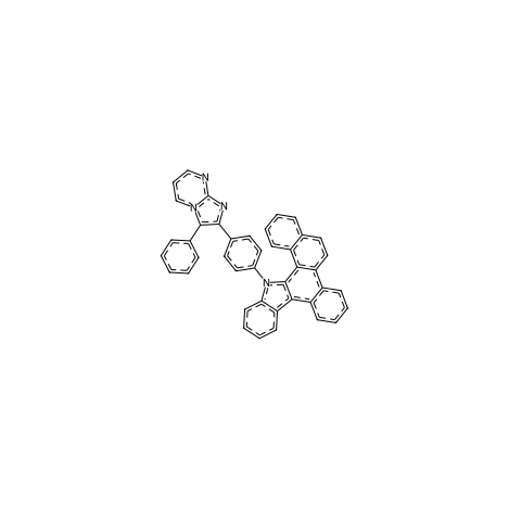 c1ccc(-c2c(-c3ccc(-n4c5ccccc5c5c6ccccc6c6ccc7ccccc7c6c54)cc3)nc3ncccn23)cc1